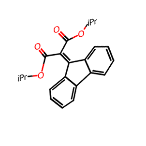 CC(C)OC(=O)C(C(=O)OC(C)C)=C1c2ccccc2-c2ccccc21